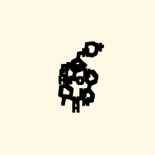 CCCCCCl.Cc1ccc(NC(=O)c2ccc(CN3CCN(C)CC3)cc2)cc1Nc1nccc(-c2cccnc2)n1